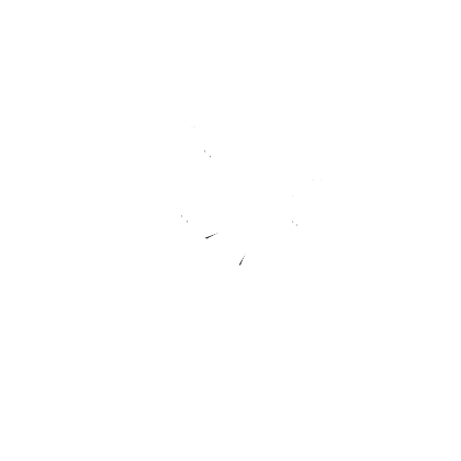 C[C@@H]1CN([C@@H](C)CO)C(=O)c2cccc(NC(=O)C(c3ccccc3)c3ccccc3)c2O[C@@H]1CN(C)Cc1ccc(Oc2ccccc2F)cc1